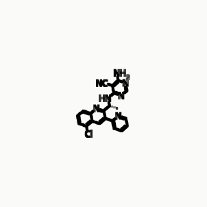 C[C@@H](Nc1ncnc(N)c1C#N)c1nc2cccc(Cl)c2cc1-c1ccccn1